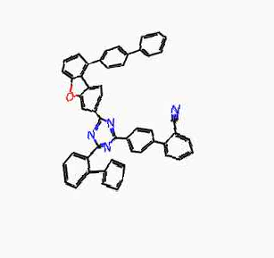 N#Cc1ccccc1-c1ccc(-c2nc(-c3ccc4c(c3)oc3cccc(-c5ccc(-c6ccccc6)cc5)c34)nc(-c3ccccc3-c3ccccc3)n2)cc1